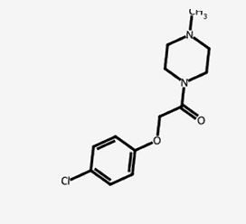 CN1CCN(C(=O)COc2ccc(Cl)cc2)CC1